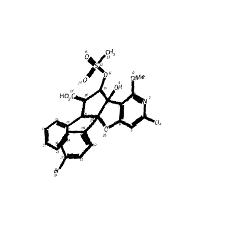 COc1nc(Cl)cc2c1C1(O)C(OS(C)(=O)=O)C(C(=O)O)C(c3ccccc3)C1(c1ccc(Br)cc1)O2